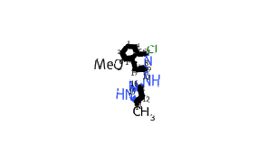 COc1cccc2c(Cl)nc(Nc3cc(C)[nH]n3)cc12